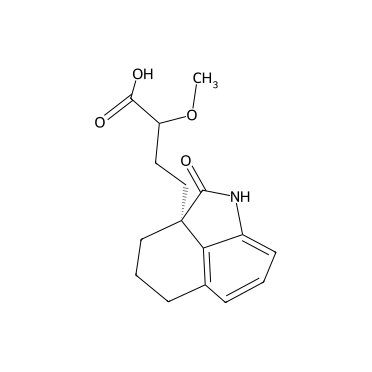 COC(CC[C@@]12CCCc3cccc(c31)NC2=O)C(=O)O